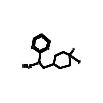 O=C(O)N(CC1CCC(F)(F)CC1)c1ncccn1